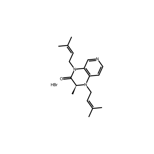 Br.CC(C)=CCN1C(=O)[C@H](C)N(CC=C(C)C)c2ccncc21